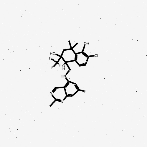 Cc1ncc2c(NCC3(O)c4ccc(Cl)c(O)c4C(C)(C)CC3(O)C(F)(F)F)cc(F)cc2n1